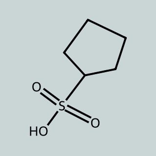 O=S(=O)(O)C1CCCC1